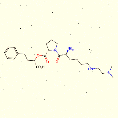 CN(C)CCNCCCC[C@H](N)C(=O)N1CCC[C@H]1C(=O)O[C@@H](CCc1ccccc1)C(=O)O